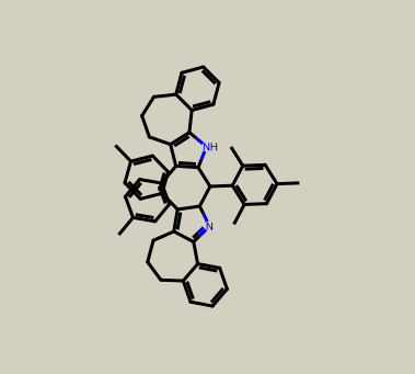 Cc1ccc(C2=C3CCCc4ccccc4C3=NC2C(c2[nH]c3c(c2-c2ccc(C)cc2)CCCc2ccccc2-3)c2c(C)cc(C)cc2C)cc1